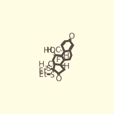 CCSC1(SCC)C(=O)C[C@H]2[C@@H]3CCC4=CC(=O)C=C[C@]4(C)[C@@]3(F)[C@@H](O)C[C@@]21C